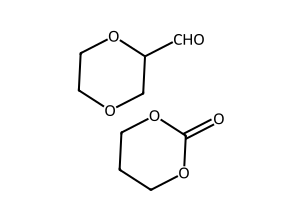 O=C1OCCCO1.O=CC1COCCO1